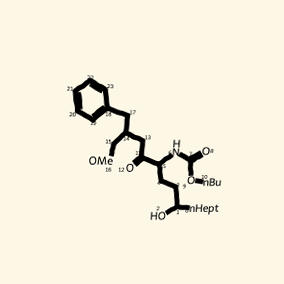 CCCCCCCC(O)CCC(NC(=O)OCCCC)C(=O)CC(COC)Cc1ccccc1